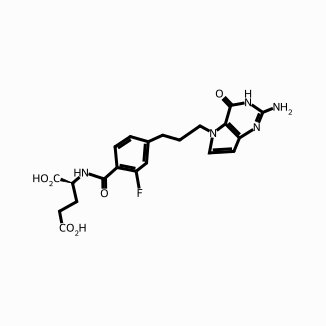 Nc1nc2ccn(CCCc3ccc(C(=O)N[C@@H](CCC(=O)O)C(=O)O)c(F)c3)c2c(=O)[nH]1